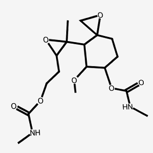 CNC(=O)OCCC1OC1(C)C1C(OC)C(OC(=O)NC)CCC12CO2